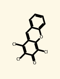 O=c1c(Cl)c2oc3ccccc3cc-2c(Cl)c1Cl